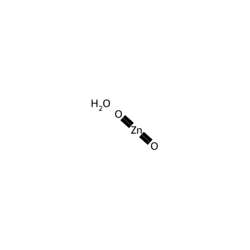 O.[O]=[Zn]=[O]